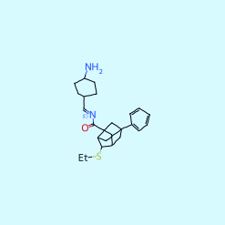 CCSC1C2CC3(c4ccccc4)CC1C(C(=O)/N=C/C1CCC(N)CC1)(C2)C3